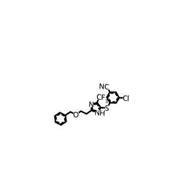 N#Cc1cc(Cl)cc(Sc2[nH]c(CCOCc3ccccc3)nc2C(F)(F)F)c1